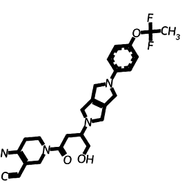 C=CC1=C(NC)CCN(C(=O)CC(CO)N2CC3=C(CN(c4ccc(OC(C)(F)F)cc4)C3)C2)C1